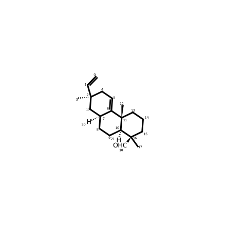 C=C[C@@]1(C)CC=C2[C@@H](CC[C@H]3[C@@]2(C)CCC[C@@]3(C)C=O)C1